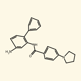 Nc1ccc(-c2ccccc2)c(NC(=O)c2ccc(N3CCCC3)cc2)c1